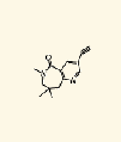 C#Cc1cnc2c(c1)C(=O)N(C)CC(C)(C)C2